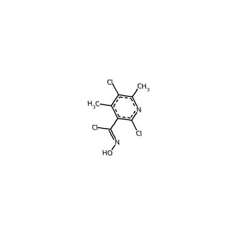 Cc1nc(Cl)c(/C(Cl)=N/O)c(C)c1Cl